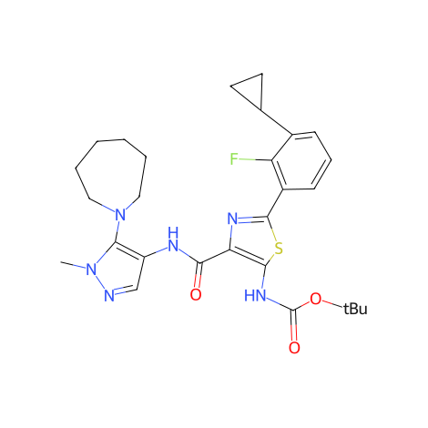 Cn1ncc(NC(=O)c2nc(-c3cccc(C4CC4)c3F)sc2NC(=O)OC(C)(C)C)c1N1CCCCCC1